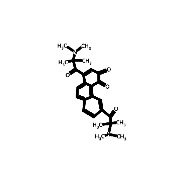 CN(C)C(C)(C)C(=O)C1=CC(=O)C(=O)c2c1ccc1ccc(C(=O)C(C)(C)N(C)C)cc21